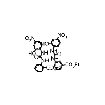 CCOC(=O)c1cccc(NC(=O)Nc2ccc([N+](=O)[O-])cc2O)c1.CCOC(=O)c1ccccc1NC(=O)Nc1ccc([N+](=O)[O-])cc1O